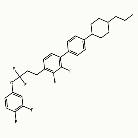 CCCC1CCC(c2ccc(-c3ccc(CCC(F)(F)Oc4ccc(F)c(F)c4)c(F)c3F)cc2)CC1